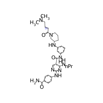 CCCNc1nc(Nc2ccc(C(N)=O)cc2)ncc1C(=O)Nc1cccc(NC2CCCN(C(=O)/C=C/CN(C)C)C2)c1